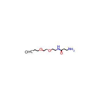 NCCC(=O)NCCOCCOCCC=O